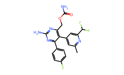 Cc1cc(-c2c(COC(N)=O)nc(N)nc2-c2ccc(F)cc2)cc(C(F)F)n1